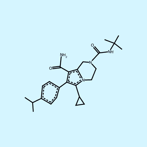 CC(C)c1ccc(-c2c(C(N)=O)c3n(c2C2CC2)CCN(C(=O)NC(C)(C)C)C3)cc1